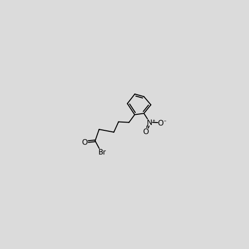 O=C(Br)CCCCc1ccccc1[N+](=O)[O-]